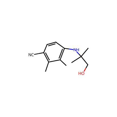 Cc1c(C#N)ccc(NC(C)(C)CO)c1C